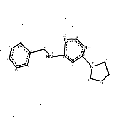 c1ccc(CNc2cc(N3CCCC3)ncn2)cc1